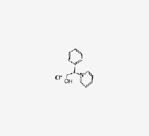 OCC(c1ccccc1)[n+]1ccccc1.[Cl-]